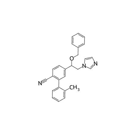 Cc1ccccc1-c1cc(C(Cn2ccnc2)OCc2ccccc2)ccc1C#N